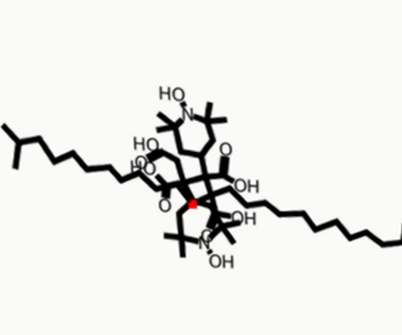 CC(C)CCCCCCCCCCC(CCCCCCCCCCC(C)C)(C(=O)O)C(C(=O)O)(C1CC(C)(C)N(O)C(C)(C)C1)C(CC(=O)O)(C(=O)O)C1CC(C)(C)N(O)C(C)(C)C1